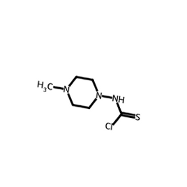 CN1CCN(NC(=S)Cl)CC1